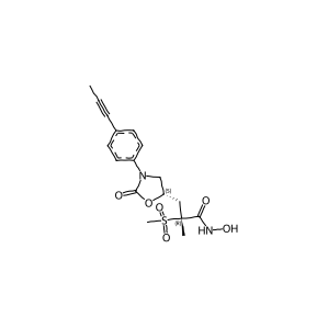 CC#Cc1ccc(N2C[C@H](C[C@](C)(C(=O)NO)S(C)(=O)=O)OC2=O)cc1